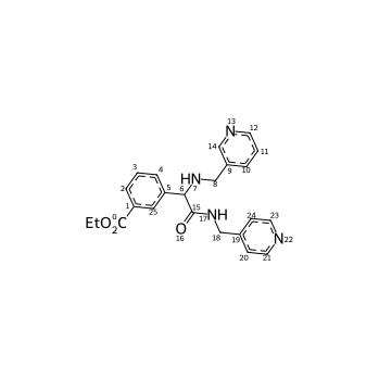 CCOC(=O)c1cccc(C(NCc2cccnc2)C(=O)NCc2ccncc2)c1